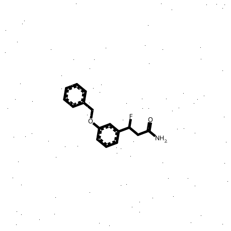 NC(=O)CC(F)c1cccc(OCc2ccccc2)c1